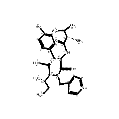 CC[C@H](C)[C@@H](C(N)=O)N(Cc1ccncc1)C(=O)[C@H](Cc1ccc(O)cc1)NC(=O)[C@@H](N)C(C)C